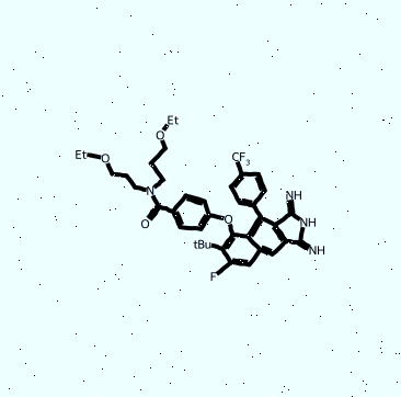 CCOCCCN(CCCOCC)C(=O)c1ccc(Oc2c(C(C)(C)C)c(F)cc3cc4c(c(-c5ccc(C(F)(F)F)cc5)c23)C(=N)NC4=N)cc1